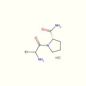 CCC(N)C(=O)N1CCC[C@H]1C(N)=O.Cl